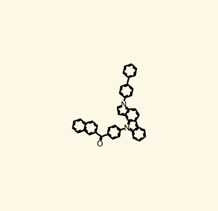 O=C(c1ccc(-n2c3ccccc3c3ccc4c(ccn4-c4ccc(-c5ccccc5)cc4)c32)cc1)c1ccc2ccccc2c1